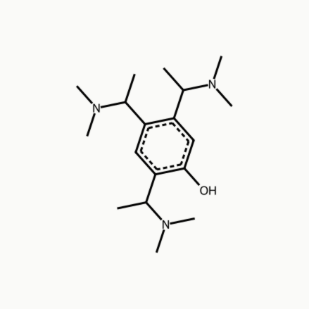 CC(c1cc(C(C)N(C)C)c(C(C)N(C)C)cc1O)N(C)C